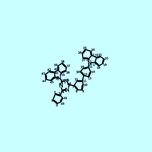 c1ccc(-c2nc(-c3cccc(-c4ccc(-n5c6ccccc6c6ccccc65)cc4)c3)nc(-n3c4ccccc4c4ccccc43)n2)cc1